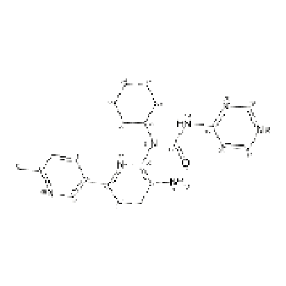 Cc1ccc(-c2ccc(N)c(N(C(=O)Nc3ccncn3)C3CCCCC3)n2)cn1